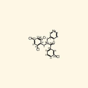 C[C@H](c1cccnc1)N(Cc1ccc(Cl)cc1Cl)C(=O)c1cccc(Cl)c1